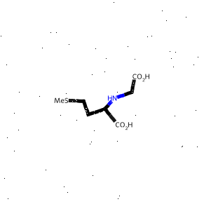 CSCCC(NCC(=O)O)C(=O)O